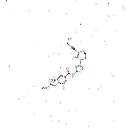 CO/C(=C/c1c(F)cc(C(=O)Nc2nc(-c3cccc(C#CCC(C)C)c3F)cs2)cc1F)C(=O)O